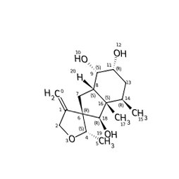 C=C1CO[C@@H](C)[C@]12C[C@@H]1[C@H](O)[C@H](O)C[C@@H](C)[C@]1(C)[C@H]2O